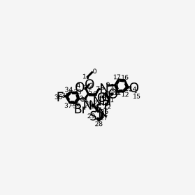 CCOC(=O)C1=C(CN(Cc2ccc(OC)cc2)S(=O)(=O)CCl)NC(c2nccs2)=N[C@H]1c1ccc(F)cc1Br